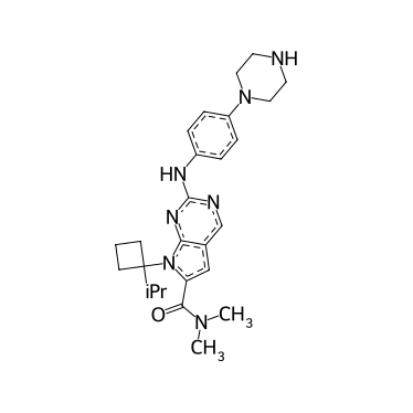 CC(C)C1(n2c(C(=O)N(C)C)cc3cnc(Nc4ccc(N5CCNCC5)cc4)nc32)CCC1